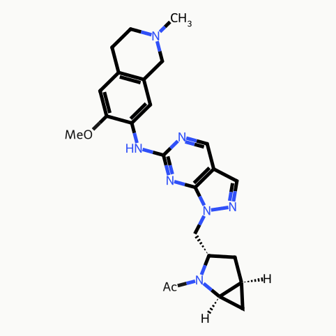 COc1cc2c(cc1Nc1ncc3cnn(C[C@@H]4C[C@H]5C[C@H]5N4C(C)=O)c3n1)CN(C)CC2